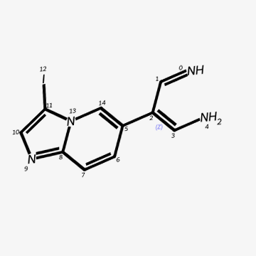 N=C/C(=C\N)c1ccc2ncc(I)n2c1